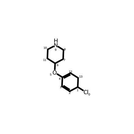 ClC1C=CC(OC2CCNCC2)=CC1